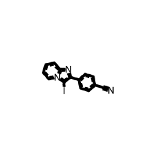 N#Cc1ccc(-c2nc3ccccn3c2I)cc1